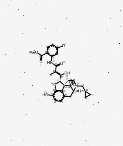 COC(=O)c1ccc(Cl)cc1NC(=O)/C(C)=C(\O)[C@@H]1Oc2c(O)ccc3c2[C@@]12CCN(CC1CC1)[C@H](C3)[C@@]2(C)O